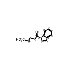 O=C(O)NCCC(=O)n1ccc2ccccc21